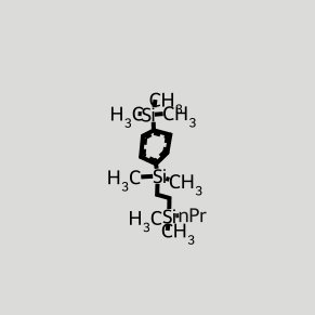 CCC[Si](C)(C)CC[Si](C)(C)c1ccc([Si](C)(C)C)cc1